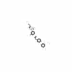 N#Cc1cc(Cl)cc(Oc2c(Cl)ccc(CC(=O)Nc3ccc(S(=O)(=O)NC(=O)CCN)cc3Cl)c2F)c1